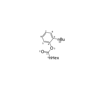 CCCCCCC(=O)Oc1ccccc1CCCC